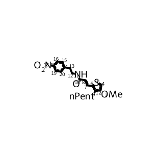 CCCCCc1c(OC)csc1C=CC(=O)NCCc1ccc([N+](=O)[O-])cc1